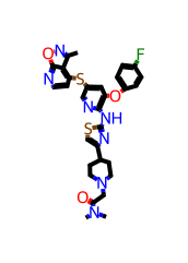 Cc1noc2nccc(Sc3cnc(Nc4nc(C5CCN(CC(=O)N(C)C)CC5)cs4)c(Oc4ccc(F)cc4)c3)c12